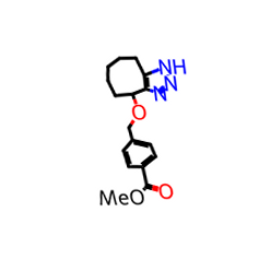 COC(=O)c1ccc(COC2CCCCCc3[nH]nnc32)cc1